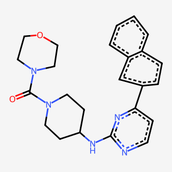 O=C(N1CCOCC1)N1CCC(Nc2nccc(-c3ccc4ccccc4c3)n2)CC1